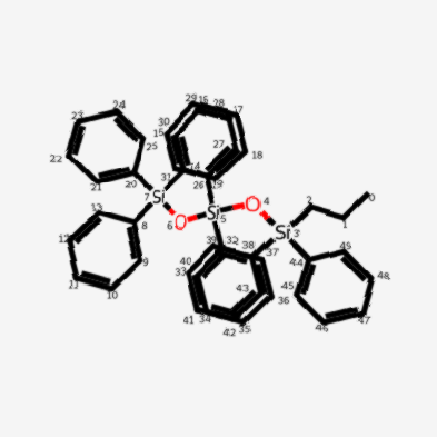 [CH2]CC[Si](O[Si](O[Si](c1ccccc1)(c1ccccc1)c1ccccc1)(c1ccccc1)c1ccccc1)(c1ccccc1)c1ccccc1